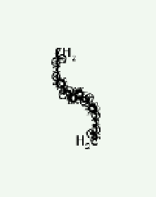 C=CC(=O)OCCCOc1ccc(C(=O)Oc2cccc3c(OC(=O)c4ccc(OCCCOC(=O)C=C)cc4)cccc23)cc1